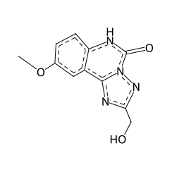 COc1ccc2[nH]c(=O)n3nc(CO)nc3c2c1